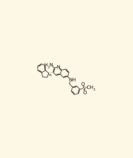 CS(=O)(=O)c1cccc(CNc2ccc3nc(N)c([C@@H]4CCc5ccccc54)cc3c2)c1